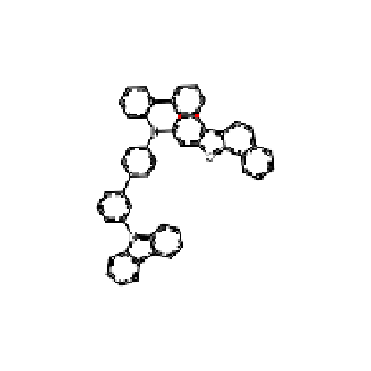 c1ccc(-c2ccccc2N(c2ccc(-c3cccc(-n4c5ccccc5c5ccccc54)c3)cc2)c2ccc3c(c2)oc2c4ccccc4ccc32)cc1